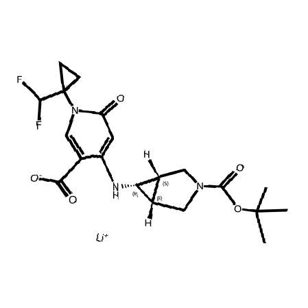 CC(C)(C)OC(=O)N1C[C@@H]2[C@H](C1)[C@@H]2Nc1cc(=O)n(C2(C(F)F)CC2)cc1C(=O)[O-].[Li+]